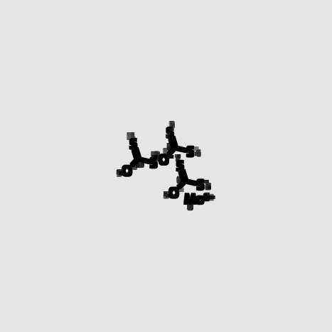 [Mo+6].[O-]C(=S)[S-].[O-]C(=S)[S-].[O-]C(=S)[S-]